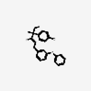 CC(CF)(/C(F)=C/Cc1cccc(Oc2ccccc2)c1)c1ccc(Cl)cc1